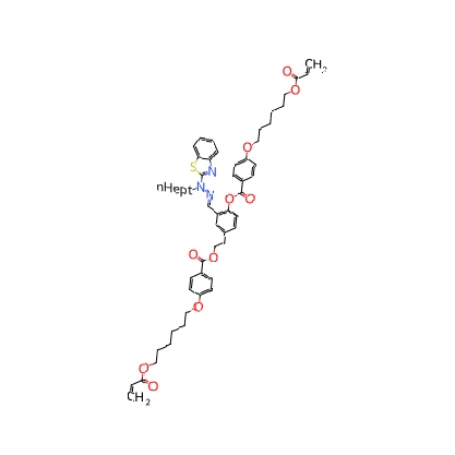 C=CC(=O)OCCCCCCOc1ccc(C(=O)OCCc2ccc(OC(=O)c3ccc(OCCCCCCOC(=O)C=C)cc3)c(/C=N/N(CCCCCCC)c3nc4ccccc4s3)c2)cc1